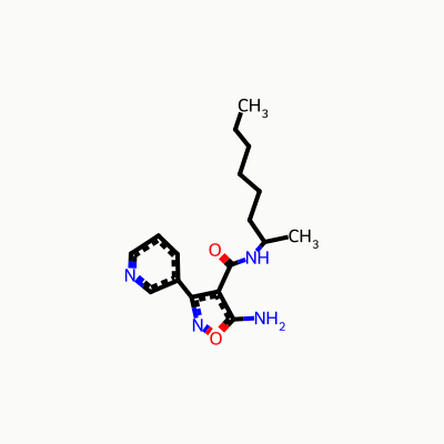 CCCCCCC(C)NC(=O)c1c(-c2cccnc2)noc1N